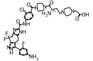 Nc1ccc(-c2[nH]nc(C(F)(F)F)c2Cc2cnc(C(=O)Nc3ccc(C(=O)N4CCN(C(=O)[C@@H](N)CCN5CCN(CC(=O)O)CC5)CC4)c(Cl)c3)[nH]2)c(F)c1